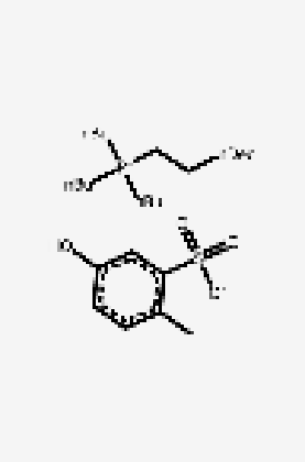 CCCCCCCCCCCC[P+](CCCC)(CCCC)CCCC.Cc1ccc(O)cc1S(=O)(=O)[O-]